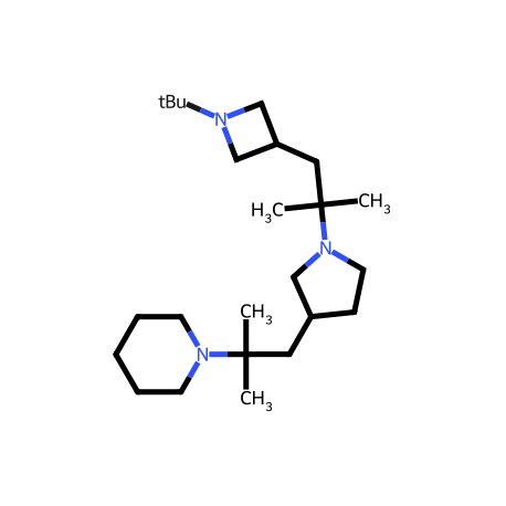 CC(C)(C)N1CC(CC(C)(C)N2CCC(CC(C)(C)N3CCCCC3)C2)C1